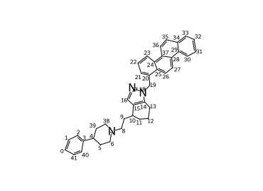 c1ccc(C2CCN(CCC3CCCc4c3cnn4Cc3cccc4c3ccc3c5ccccc5ccc43)CC2)cc1